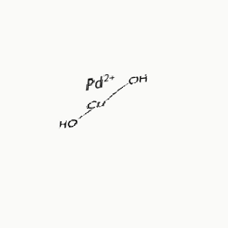 [OH][Cu][OH].[Pd+2]